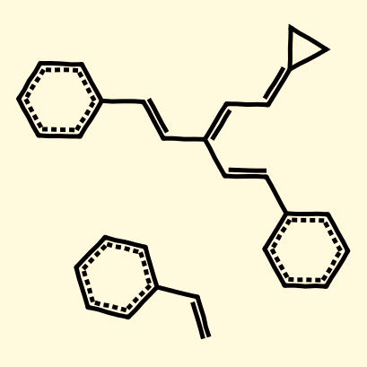 C(=Cc1ccccc1)C(C=Cc1ccccc1)=CC=C1CC1.C=Cc1ccccc1